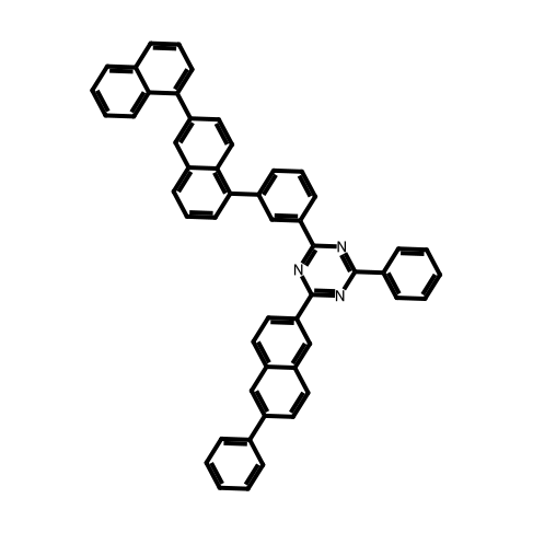 c1ccc(-c2ccc3cc(-c4nc(-c5ccccc5)nc(-c5cccc(-c6cccc7cc(-c8cccc9ccccc89)ccc67)c5)n4)ccc3c2)cc1